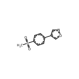 CS(=O)(=O)c1ccc(-c2cnoc2)cc1